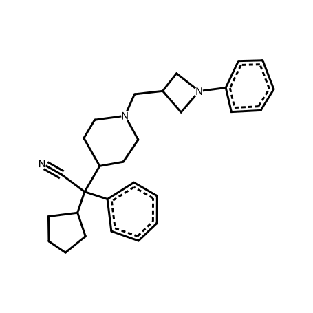 N#CC(c1ccccc1)(C1CCCC1)C1CCN(CC2CN(c3ccccc3)C2)CC1